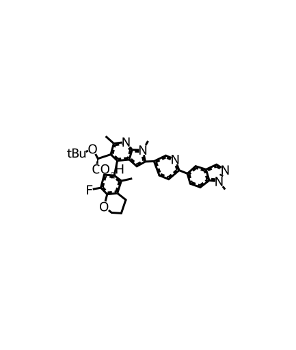 Cc1nc2c(cc(-c3ccc(-c4ccc5c(cnn5C)c4)nc3)n2C)c(-c2cc(F)c3c(c2C)CCCO3)c1[C@H](OC(C)(C)C)C(=O)O